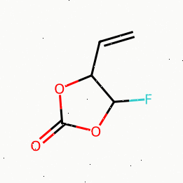 C=CC1OC(=O)OC1F